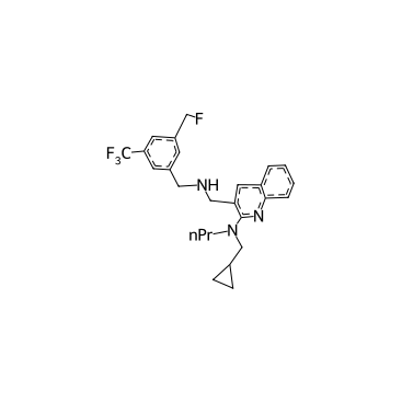 CCCN(CC1CC1)c1nc2ccccc2cc1CNCc1cc(CF)cc(C(F)(F)F)c1